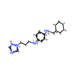 c1ncn(CCCNc2ccc(NCC3CCCCC3)cc2)n1